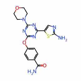 NC(=O)c1ccc(Oc2nc(-c3cnc(N)s3)nc(N3CCOCC3)n2)cc1